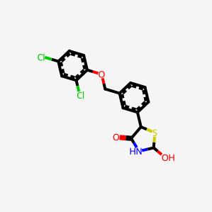 O=C1NC(O)SC1c1cccc(COc2ccc(Cl)cc2Cl)c1